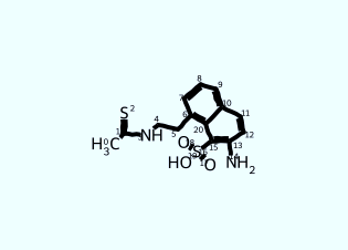 CC(=S)NCCc1cccc2ccc(N)c(S(=O)(=O)O)c12